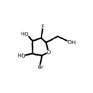 OCC1OC(Br)C(O)C(O)C1F